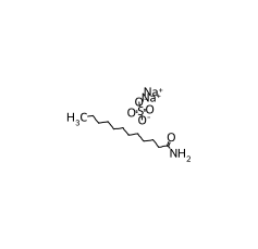 CCCCCCCCCCCC(N)=O.O=S(=O)([O-])[O-].[Na+].[Na+]